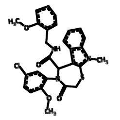 COc1ccccc1CNC(=O)C1c2c(n(C)c3ccccc23)SCC(=O)N1c1cc(Cl)ccc1OC